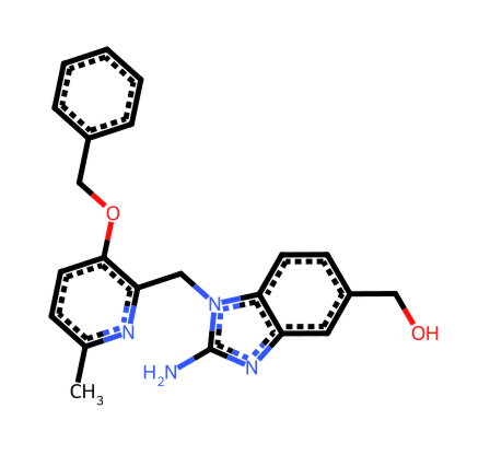 Cc1ccc(OCc2ccccc2)c(Cn2c(N)nc3cc(CO)ccc32)n1